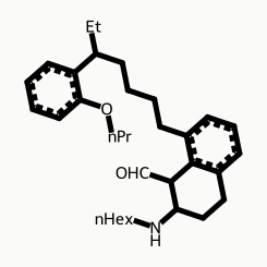 CCCCCCNC1CCc2cccc(CCCCC(CC)c3ccccc3OCCC)c2C1C=O